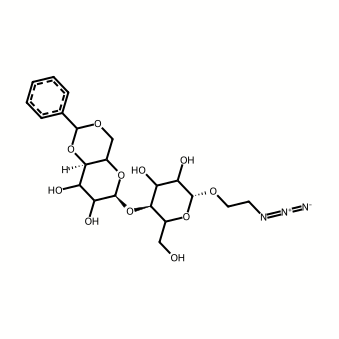 [N-]=[N+]=NCCO[C@@H]1OC(CO)[C@@H](O[C@@H]2OC3COC(c4ccccc4)O[C@@H]3C(O)C2O)C(O)C1O